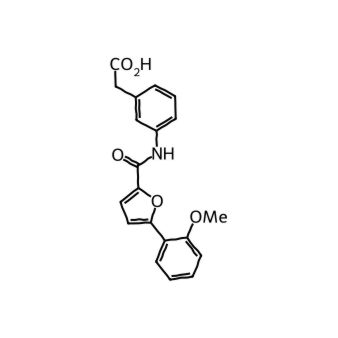 COc1ccccc1-c1ccc(C(=O)Nc2cccc(CC(=O)O)c2)o1